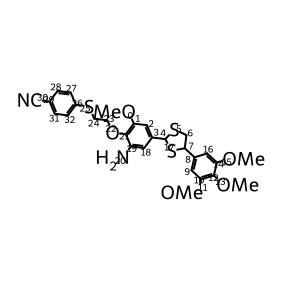 COc1cc(C2SCC(c3cc(OC)c(OC)c(OC)c3)S2)cc(N)c1OCCSc1ccc(C#N)cc1